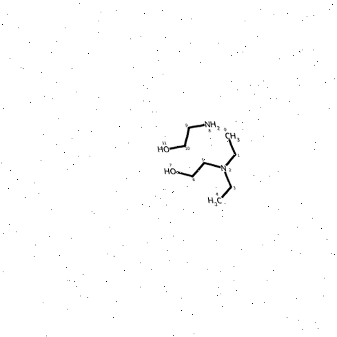 CCN(CC)CCO.NCCO